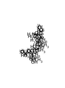 CC(NC(=O)C(C)(C)NC(=O)C(Cc1ccc([C@H](O)c2ccccc2)cc1)NC(=O)C(C)(C)NC(=O)C(C)NC(=O)C(C)(C)NC(=O)C(Cc1ccc2ccccc2c1)NC(=O)C(C)(C)N)C(=O)O